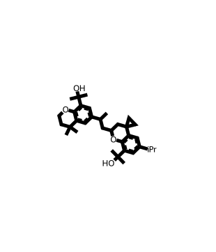 CC(C)c1cc(C(C)(C)O)c2c(c1)C1(CC1)CC(CC(C)c1cc(C(C)(C)O)c3c(c1)C(C)(C)CCO3)O2